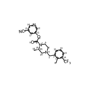 Cc1c(CN2CCN(C(=O)Oc3cncc(C#N)c3)[C@H](C)C2)cccc1C(F)(F)F